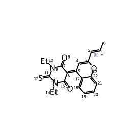 C/C=C/C1=CC(=C2C(=O)N(CC)C(=S)N(CC)C2=O)c2ccccc2O1